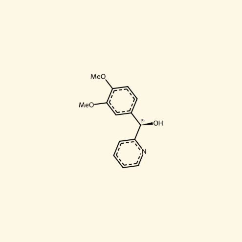 COc1ccc([C@@H](O)c2ccccn2)cc1OC